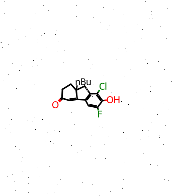 CCCCC12CCC(=O)C=C1c1cc(F)c(O)c(Cl)c1C2